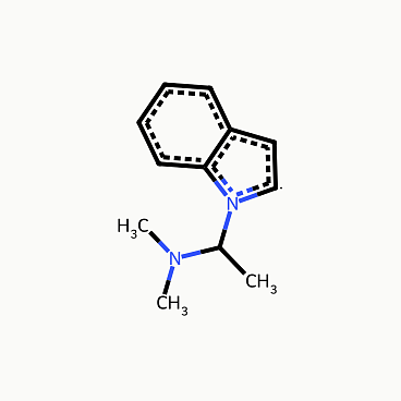 CC(N(C)C)n1[c]cc2ccccc21